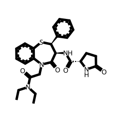 CCN(CC)C(=O)CN1C(=O)[C@H](NC(=O)[C@@H]2CCC(=O)N2)[C@H](c2ccccc2)Sc2ccccc21